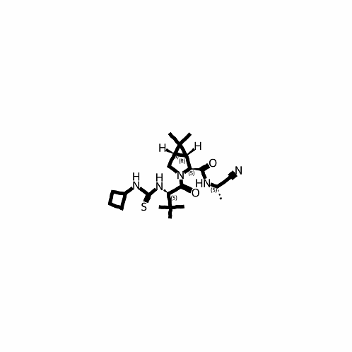 C[C@@H](C#N)NC(=O)[C@@H]1[C@@H]2[C@H](CN1C(=O)[C@@H](NC(=S)NC1CCC1)C(C)(C)C)C2(C)C